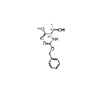 COC(=O)[C@@H](NC(=O)OCc1ccccc1)[C@H](C)O